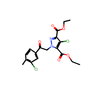 CCOC(=O)c1nn(CC(=O)c2ccc(C)c(Cl)c2)c(C(=O)OCC)c1Cl